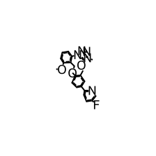 COc1cccc(-n2nnn(C)c2=O)c1COc1ccc(-c2ccc(F)cn2)cc1C